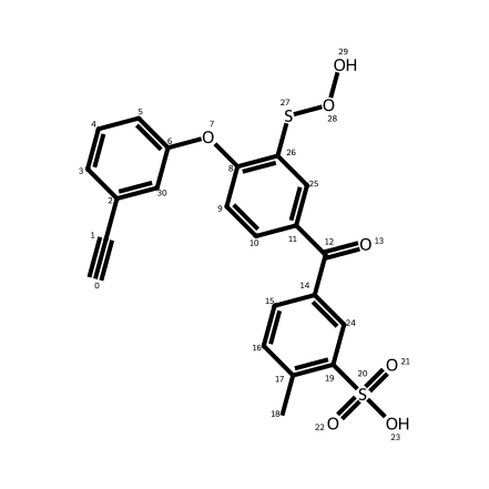 C#Cc1cccc(Oc2ccc(C(=O)c3ccc(C)c(S(=O)(=O)O)c3)cc2SOO)c1